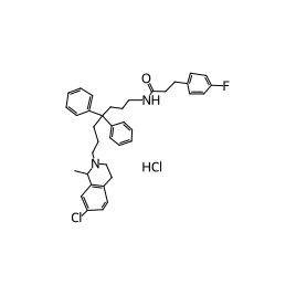 CC1c2cc(Cl)ccc2CCN1CCCC(CCCNC(=O)CCc1ccc(F)cc1)(c1ccccc1)c1ccccc1.Cl